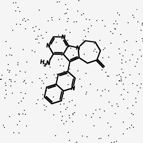 C=C1CCCn2c(c(-c3cnc4ccccc4c3)c3c(N)ncnc32)C1